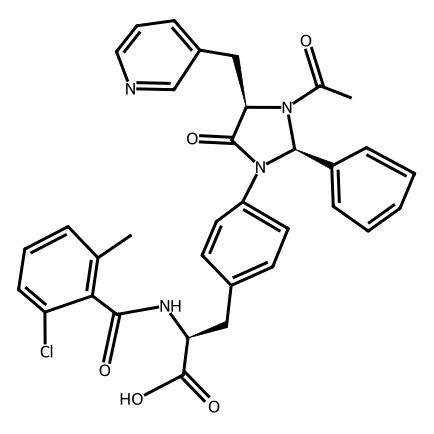 CC(=O)N1[C@H](Cc2cccnc2)C(=O)N(c2ccc(C[C@H](NC(=O)c3c(C)cccc3Cl)C(=O)O)cc2)[C@@H]1c1ccccc1